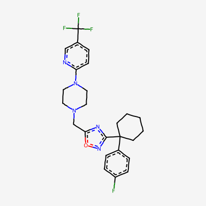 Fc1ccc(C2(c3noc(CN4CCN(c5ccc(C(F)(F)F)cn5)CC4)n3)CCCCC2)cc1